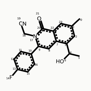 Cc1cc(C(C)O)c2cc(-c3ccc(F)cc3)n(CC#N)c(=O)c2c1